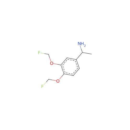 CC(N)c1ccc(OCF)c(OCF)c1